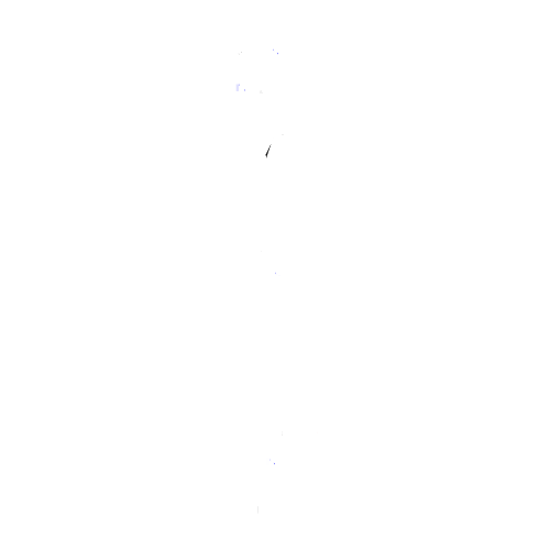 CC(C)NC(=O)CCCCCNC(=O)CCCC[C@@H]1SCC2NC(=O)N[C@@H]21